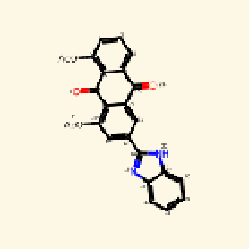 CC(=O)Oc1cccc2c1C(=O)c1c(OC(C)=O)cc(-c3nc4ccccc4[nH]3)cc1C2=O